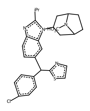 CC(C)c1nc2ccc(C(c3ccc(Cl)cc3)c3nccs3)cc2n1C1CC2CCC(C1)N2C(=O)O